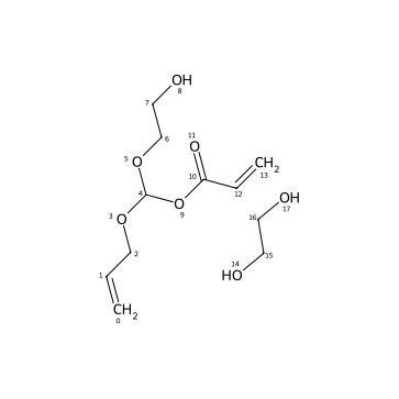 C=CCOC(OCCO)OC(=O)C=C.OCCO